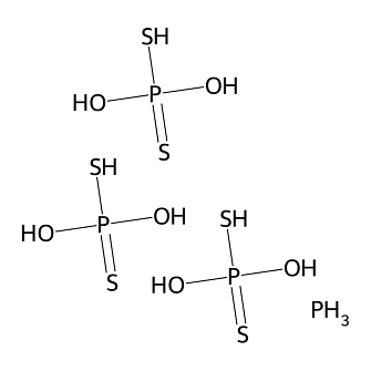 OP(O)(=S)S.OP(O)(=S)S.OP(O)(=S)S.P